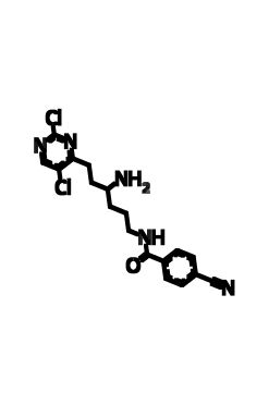 N#Cc1ccc(C(=O)NCCCC(N)CCc2nc(Cl)ncc2Cl)cc1